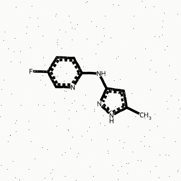 Cc1cc(Nc2ccc(F)cn2)n[nH]1